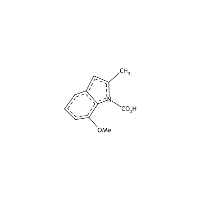 COc1cccc2cc(C)n(C(=O)O)c12